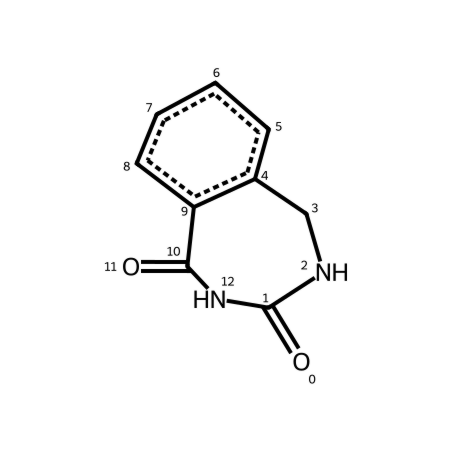 O=C1NCc2ccccc2C(=O)N1